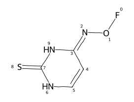 FON=c1cc[nH]c(=S)[nH]1